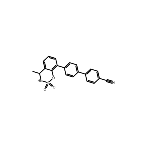 CC1NS(=O)(=O)Oc2c(-c3ccc(-c4ccc(C#N)cc4)cc3)cccc21